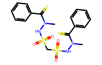 CN(NS(=O)(=O)CS(=O)(=O)NN(C)C(=S)c1ccccc1)C(=S)c1ccccc1